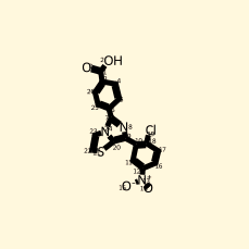 O=C(O)c1ccc(-c2nc(-c3cc([N+](=O)[O-])ccc3Cl)c3sccn23)cc1